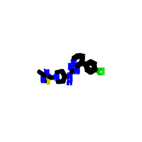 Cc1nsc(N2CCC(Nc3nc4c(-c5ccc(Cl)cc5)cccn4n3)CC2)n1